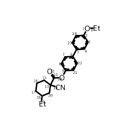 CCOc1ccc(-c2ccc(OC(=O)C3(C#N)CCCC(CC)C3)cc2)cc1